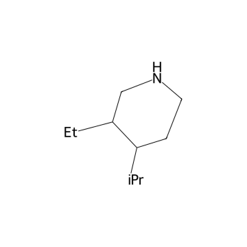 CCC1CNCCC1C(C)C